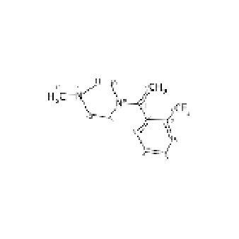 C=C(c1ccccc1C(F)(F)F)N1CCN(C)CC1